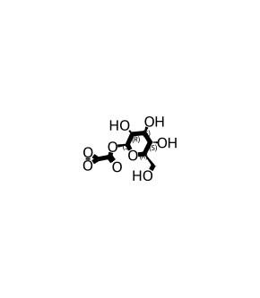 O=C(O[C@@H]1O[C@H](CO)[C@@H](O)[C@H](O)[C@H]1O)C1OO1